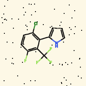 Fc1ccc(Cl)c(-c2ccc[nH]2)c1C(F)(F)F